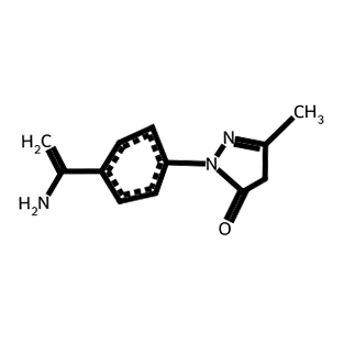 C=C(N)c1ccc(N2N=C(C)CC2=O)cc1